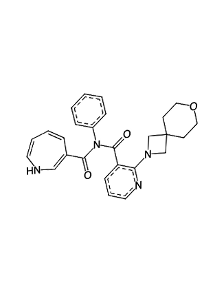 O=C(C1=CNC=CC=C1)N(C(=O)c1cccnc1N1CC2(CCOCC2)C1)c1ccccc1